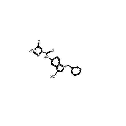 N#Cc1cn(Cc2ccccc2)c2ccc(NC(=O)c3cc(=O)[nH]cn3)cc12